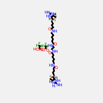 N=C1N[C@H]2[C@H](CS[C@H]2CCCCC(=O)NCCCCCC(=O)NCCNC(=O)CCCCCNC(=O)CCCC[C@@H]2SC[C@@H]3NC(=N)N[C@@H]32)N1.O=C(O)C(F)(F)F.O=C(O)C(F)(F)F